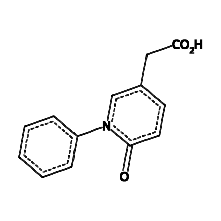 O=C(O)Cc1ccc(=O)n(-c2ccccc2)c1